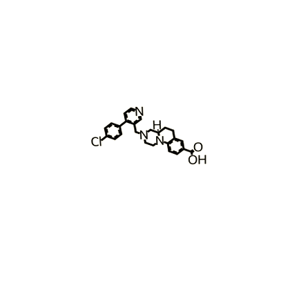 O=C(O)c1ccc2c(c1)CC[C@@H]1CN(Cc3cnccc3-c3ccc(Cl)cc3)CCN21